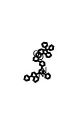 c1ccc(-c2nc(-c3cccc(-c4cccc5c4Oc4c(ccc6c4-c4ccccc4C6(c4ccccc4)c4ccccc4)O5)c3)cc(-c3ccc(-c4ccccc4)c4ccccc34)n2)cc1